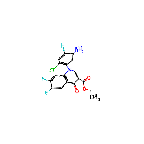 CCOC(=O)c1cn(-c2cc(N)c(F)cc2Cl)c2cc(F)c(F)cc2c1=O